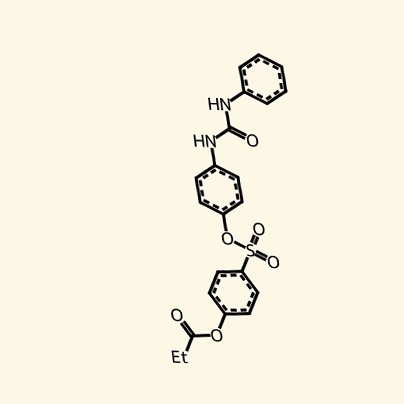 CCC(=O)Oc1ccc(S(=O)(=O)Oc2ccc(NC(=O)Nc3ccccc3)cc2)cc1